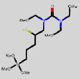 COCN(COC)C(=O)N(COC)CC(S)CCC[Si](OC)(OC)OC